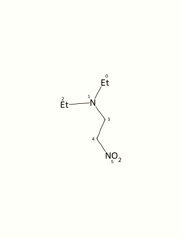 CCN(CC)CC[N+](=O)[O-]